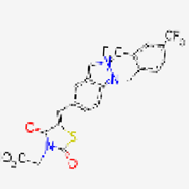 O=C(O)CN1C(=O)S/C(=C\c2ccc3c(cnn3Cc3ccc(C(F)(F)F)cc3C(F)(F)F)c2)C1=O